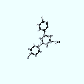 Cc1ccc(-c2nc(-c3ccc(C)cc3)nc(C(C)(C)C)n2)cc1